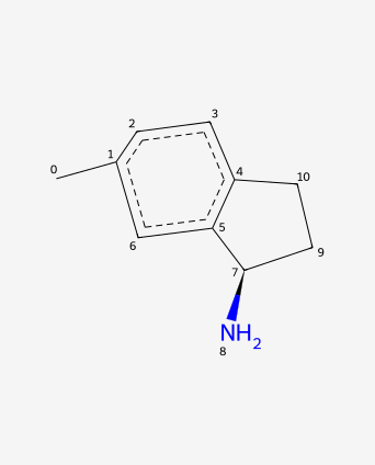 Cc1ccc2c(c1)[C@H](N)CC2